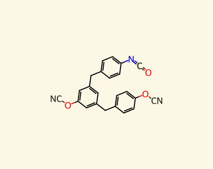 N#COc1ccc(Cc2cc(Cc3ccc(N=C=O)cc3)cc(OC#N)c2)cc1